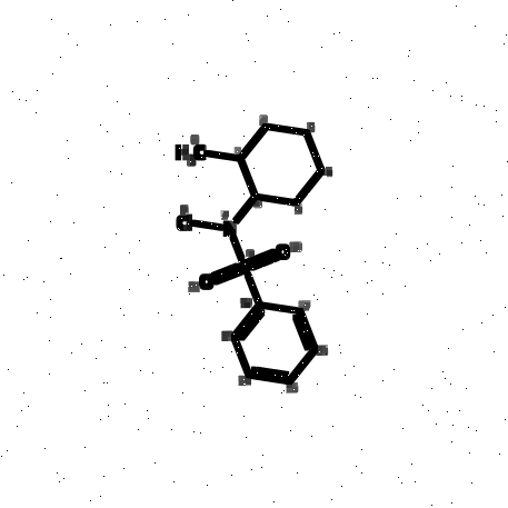 CC1CCCCC1N(Cl)S(=O)(=O)c1ccccc1